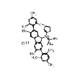 CCCC[C](CCCC)=[Zr+2]([C]1=CC=CC1)[CH]1c2cc(-c3c(C)cc(C)cc3C)c(C(C)(C)C)cc2-c2cc(C(C)(C)C)c(-c3c(C)cc(C)cc3C)cc21.[Cl-].[Cl-]